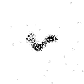 CC1(C)c2ccccc2-c2ccc(-c3ccc4ccc5ccc(-c6ccc(-c7ccc8nc9ccccc9cc8c7)cc6)nc5c4n3)cc21